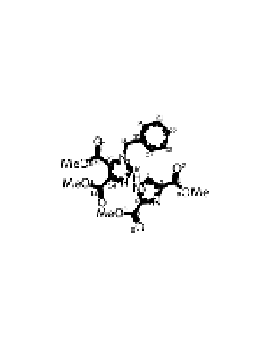 COC(=O)c1c[nH]c(C(=O)OC)n1.COC(=O)c1ncn(Cc2ccccc2)c1C(=O)OC